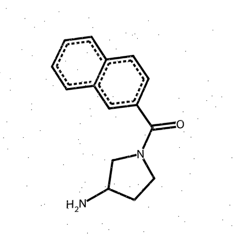 NC1CCN(C(=O)c2ccc3ccccc3c2)C1